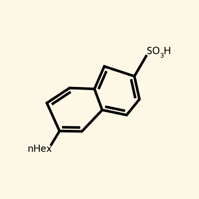 CCCCCCc1ccc2cc(S(=O)(=O)O)ccc2c1